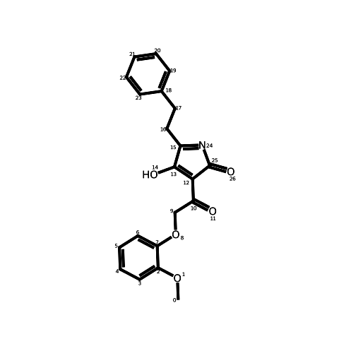 COc1ccccc1OCC(=O)C1=C(O)C(CCc2ccccc2)=NC1=O